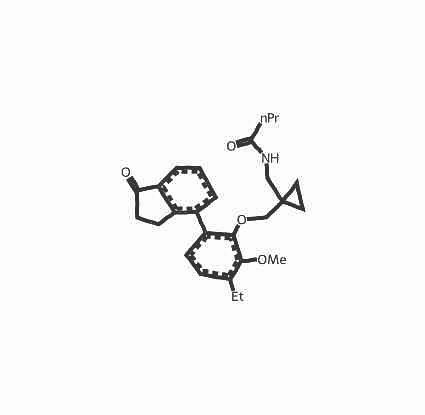 CCCC(=O)NCC1(COc2c(-c3cccc4c3CCC4=O)ccc(CC)c2OC)CC1